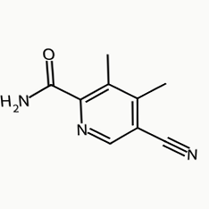 Cc1c(C#N)cnc(C(N)=O)c1C